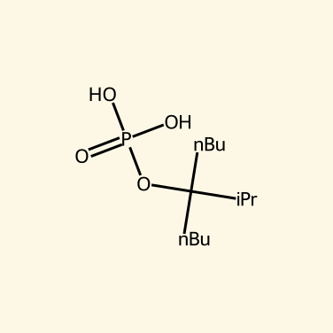 CCCCC(CCCC)(OP(=O)(O)O)C(C)C